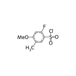 COc1cc(F)c(S(=O)(=O)Cl)cc1C